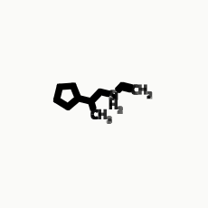 C=C[SiH2]CC(C)C1CCCC1